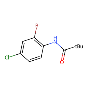 CC(C)(C)C(=O)Nc1ccc(Cl)cc1Br